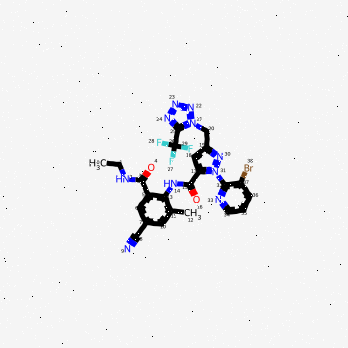 CCNC(=O)c1cc(C#N)cc(C)c1NC(=O)c1cc(Cn2nnnc2C(F)(F)F)nn1-c1ncccc1Br